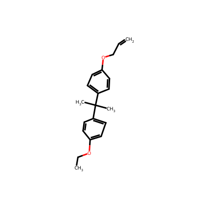 C=CCOc1ccc(C(C)(C)c2ccc(OCC)cc2)cc1